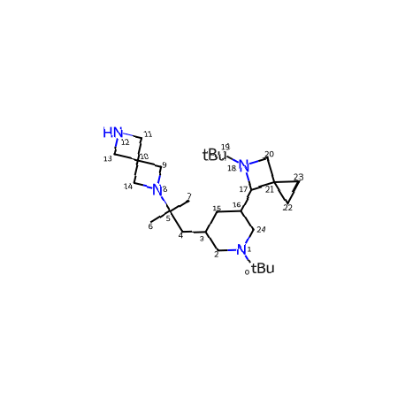 CC(C)(C)N1CC(CC(C)(C)N2CC3(CNC3)C2)CC(C2N(C(C)(C)C)CC23CC3)C1